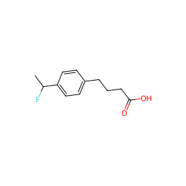 CC(F)c1ccc(CCCC(=O)O)cc1